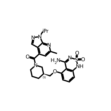 Cc1cc(C(=O)N2CCC[C@H](COc3cccc4c3C(N)=NS(=O)(=O)N4)C2)c2cnn(C(C)C)c2n1